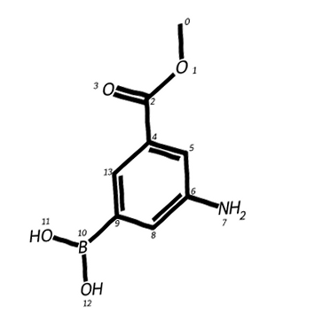 COC(=O)c1cc(N)cc(B(O)O)c1